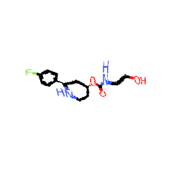 O=C(NCCO)O[C@H]1CCN[C@@H](c2ccc(F)cc2)C1